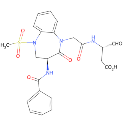 CS(=O)(=O)N1C[C@H](NC(=O)c2ccccc2)C(=O)N(CC(=O)N[C@H](C=O)CC(=O)O)c2ccccc21